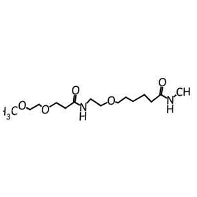 CNC(=O)CCCCCOCCNC(=O)CCOCCOC